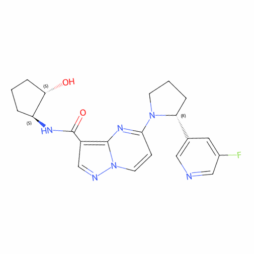 O=C(N[C@H]1CCC[C@@H]1O)c1cnn2ccc(N3CCC[C@@H]3c3cncc(F)c3)nc12